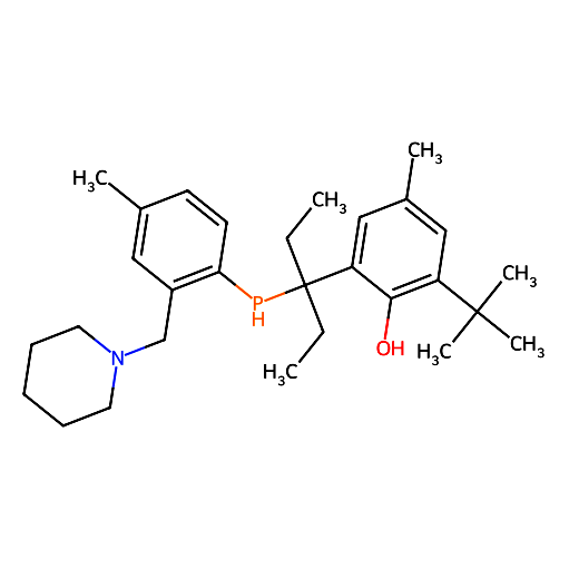 CCC(CC)(Pc1ccc(C)cc1CN1CCCCC1)c1cc(C)cc(C(C)(C)C)c1O